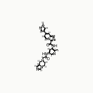 Cc1ncc(NC(=O)CN2CCn3cncc3C2)cc1NC(=O)c1nnc2cc(-c3cnn(C)c3)ccn12